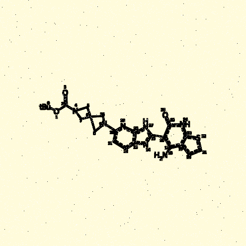 CC(C)(C)OC(=O)N1CC2(C1)CN(c1ccc3nc(-c4c(N)c5ccsc5[nH]c4=O)[nH]c3n1)C2